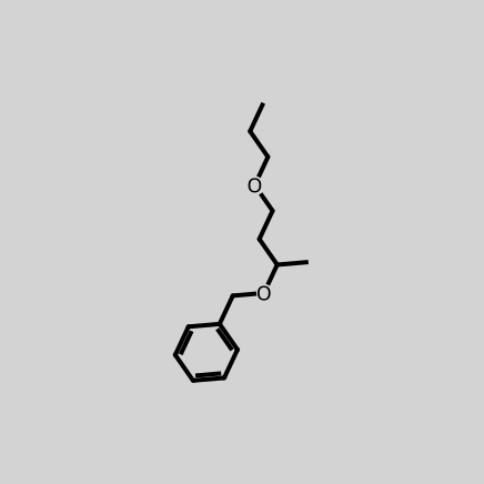 CCCOCCC(C)OCc1ccccc1